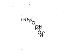 CS(=O)(=O)c1cccc(-c2cnn3cc(-c4ccc(C(F)(F)CN5CCNCC5)cc4)cnc23)c1